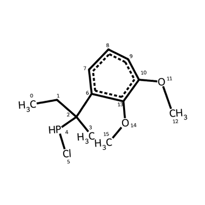 CCC(C)(PCl)c1cccc(OC)c1OC